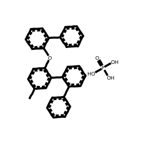 Cc1ccc(Oc2ccccc2-c2ccccc2)c(-c2ccccc2-c2ccccc2)c1.O=P(O)(O)O